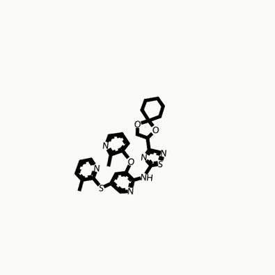 Cc1cccnc1Sc1cnc(Nc2nc(C3COC4(CCCCC4)O3)ns2)c(Oc2cccnc2C)c1